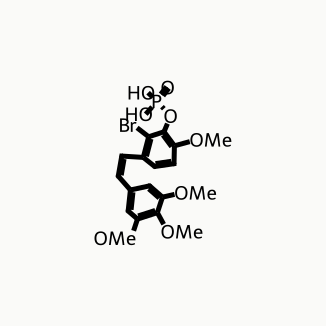 COc1cc(/C=C\c2ccc(OC)c(OP(=O)(O)O)c2Br)cc(OC)c1OC